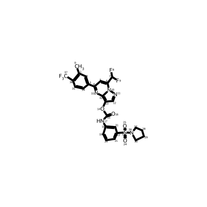 Cc1cc(-c2cc(C(F)F)n3ncc(OC(=O)Nc4cccc(S(=O)(=O)N5CCCC5)c4)c3n2)ccc1C(F)(F)F